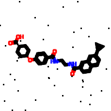 O=C(NCCNC(=O)c1ccc2ccc(C3CC3)cc2c1)c1ccc(O[C@H]2CC[C@@H](C(=O)O)CC2)cc1